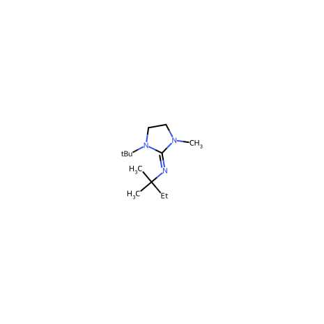 CCC(C)(C)N=C1N(C)CCN1C(C)(C)C